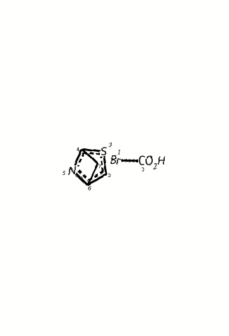 O=C(O)Br.c1sc2nc1C2